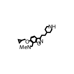 CNCc1c(OCC2CC2)ccc2c(CCC3CCNCC3)noc12